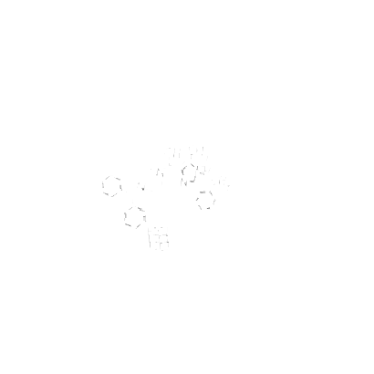 Cc1ccccc1-c1nc(C(C)N2CCN(C(c3ccccc3)c3ccccc3)CC2)c(C)[nH]1.Cl.Cl.Cl